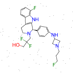 C[C@@H]1Cc2c([nH]c3c(F)cccc23)[C@@H](c2ccc(NC3CN(CCCF)C3)cc2)N1CC(F)(F)CO